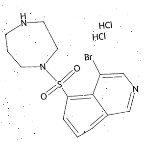 Cl.Cl.O=S(=O)(c1cccc2cncc(Br)c12)N1CCCNCC1